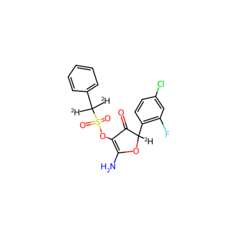 [2H]C1(c2ccc(Cl)cc2F)OC(N)=C(OS(=O)(=O)C([2H])([2H])c2ccccc2)C1=O